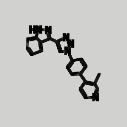 Cc1cnccc1-c1ccc(-n2cc(-c3n[nH]c4ccccc34)nn2)cc1